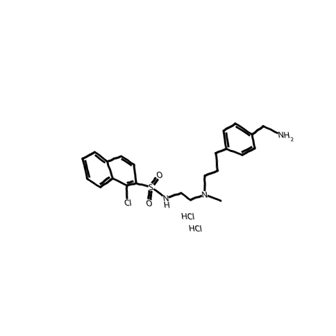 CN(CCCc1ccc(CN)cc1)CCNS(=O)(=O)c1ccc2ccccc2c1Cl.Cl.Cl